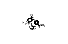 CCc1nn(-c2cc(NC3CCOC3)c(C(N)=O)cc2F)c2c1CCC(C)(C)C2